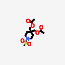 CC(=O)OCC1(COC(C)=O)CCN(S(C)(=O)=O)CC1